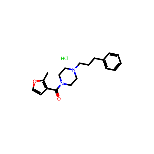 Cc1occc1C(=O)N1CCN(CCCc2ccccc2)CC1.Cl